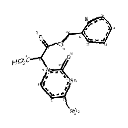 Nc1ccn(C(C(=O)O)C(=O)OCc2ccccc2)c(=O)n1